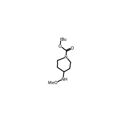 CONC1CCN(C(=O)OC(C)(C)C)CC1